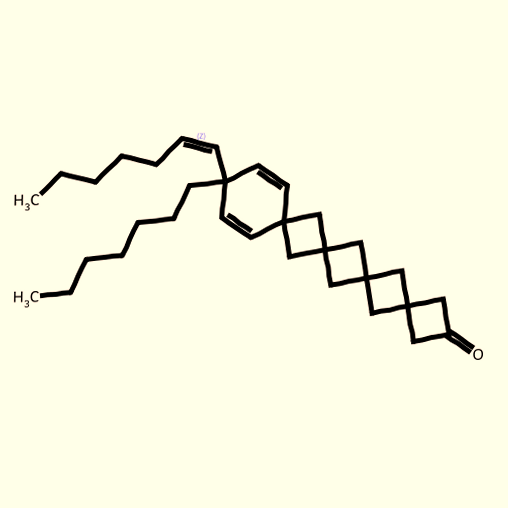 CCCCC/C=C\C1(CCCCCCC)C=CC2(C=C1)CC1(C2)CC2(CC3(CC(=O)C3)C2)C1